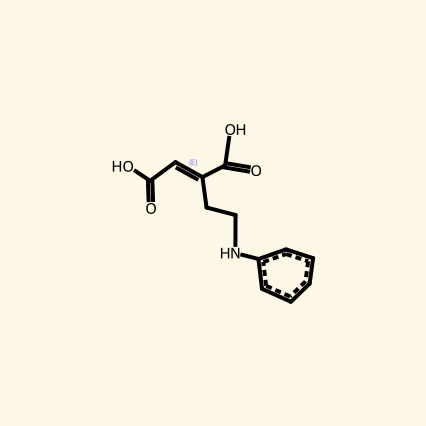 O=C(O)/C=C(\CCNc1ccccc1)C(=O)O